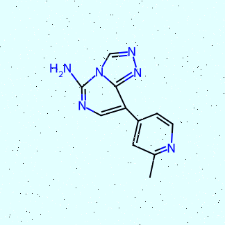 Cc1cc(-c2cnc(N)n3cnnc23)ccn1